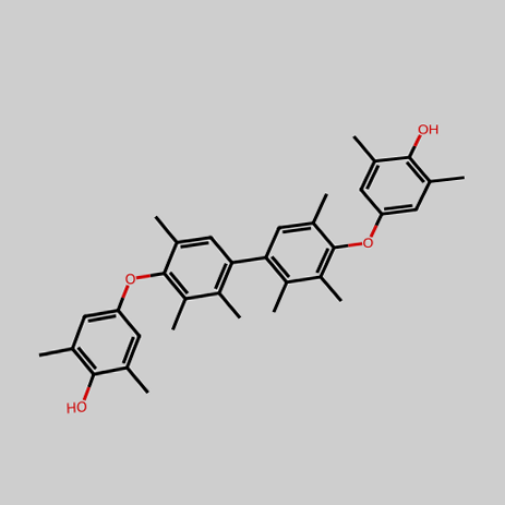 Cc1cc(Oc2c(C)cc(-c3cc(C)c(Oc4cc(C)c(O)c(C)c4)c(C)c3C)c(C)c2C)cc(C)c1O